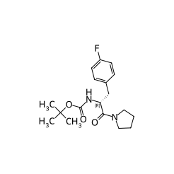 CC(C)(C)OC(=O)N[C@H](Cc1ccc(F)cc1)C(=O)N1CCCC1